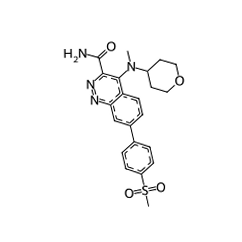 CN(c1c(C(N)=O)nnc2cc(-c3ccc(S(C)(=O)=O)cc3)ccc12)C1CCOCC1